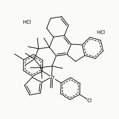 Cl.Cl.[CH2]=[Zr]([C]1=CC=CC1)([c]1ccc(C)cc1)([c]1ccc(Cl)cc1)[C]1(C)C2=C3Cc4ccccc4C3=C3C=CCCC3C2(C)C(C)(C)C(C)(C)C1(C)C